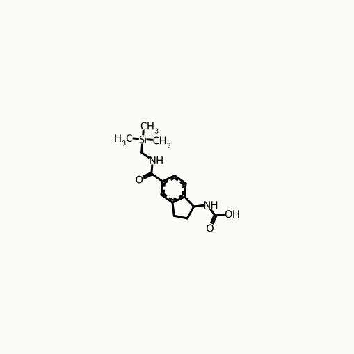 C[Si](C)(C)CNC(=O)c1ccc2c(c1)CCC2NC(=O)O